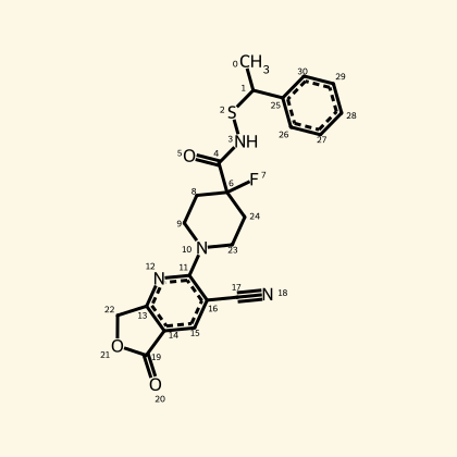 CC(SNC(=O)C1(F)CCN(c2nc3c(cc2C#N)C(=O)OC3)CC1)c1ccccc1